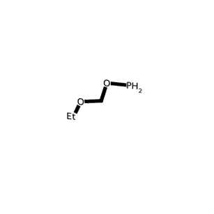 CCOCOP